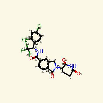 O=C1CCC(N2Cc3cc(C(=O)N[C@H](c4ccc(Cl)cc4Cl)C(F)(F)F)ccc3C2=O)C(=O)N1